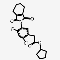 O=C(Cc1cc(N2C(=O)C3=C(CCCC3)C2=O)c(F)cc1Cl)OC1CCCC1